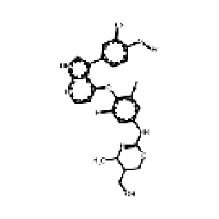 CC(C)Oc1ccc(-c2c[nH]c3nccc(Oc4c(F)cc(NC5=NC(C)C(CO)CO5)cc4F)c23)cc1C#N